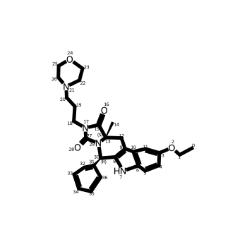 CCOc1ccc2[nH]c3c(c2c1)C[C@@]1(C)C(=O)N(CCCN2CCOCC2)C(=O)N1[C@@H]3c1ccccc1